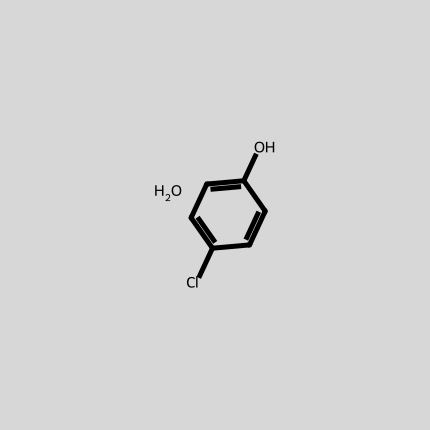 O.Oc1ccc(Cl)cc1